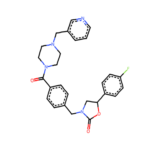 O=C1OC(c2ccc(F)cc2)CN1Cc1ccc(C(=O)N2CCN(Cc3cccnc3)CC2)cc1